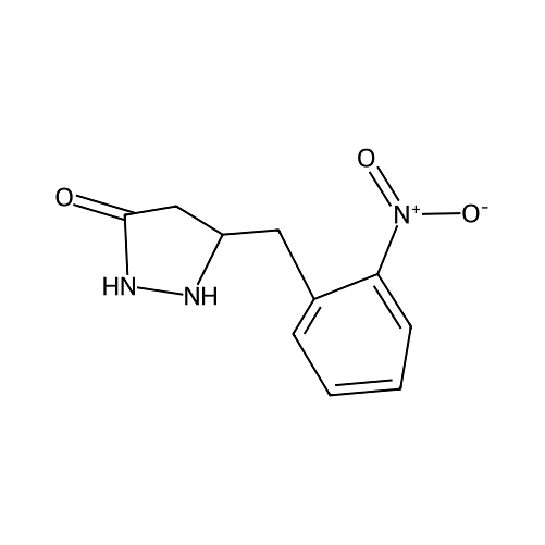 O=C1CC(Cc2ccccc2[N+](=O)[O-])NN1